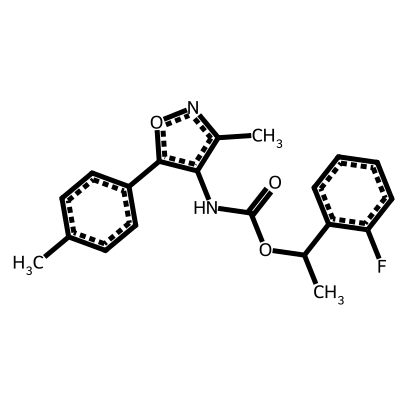 Cc1ccc(-c2onc(C)c2NC(=O)OC(C)c2ccccc2F)cc1